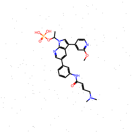 COc1cc(-c2cn(C(C)OP(=O)(O)O)c3ncc(-c4cccc(NC(=O)C=CCN(C)C)c4)cc23)ccn1